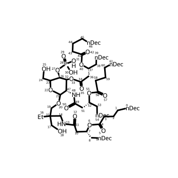 CCCCCCCCCCCCCC(=O)O[C@H](CCCCCCCCCCC)CC(=O)NCC(CC)(CO)COC1OC(CO)[C@@H](OP(=O)(O)O)C(OC(=O)C[C@@H](CCCCCCCCCCC)OC(=O)CCCCCCCCCCCCC)[C@@H]1NC(=O)C[C@@H](CCCCCCCCCCC)OC(=O)CCCCCCCCCCCCC